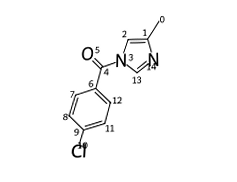 Cc1cn(C(=O)c2ccc(Cl)cc2)cn1